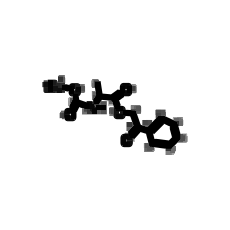 CC(NC(=O)OC(C)(C)C)C(=O)OCC(=O)c1ccccc1